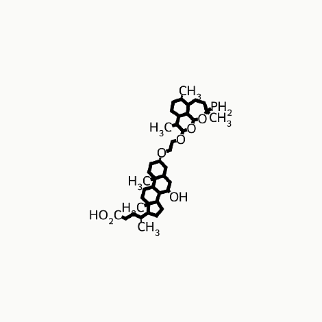 CC1C(OCCO[C@@H]2CCC3(C)C(CC(O)C4C3CCC3(C)C4CCC3[C@H](C)CCC(=O)O)C2)OC2OC(C)(P)CCC3C2C1CC[C@H]3C